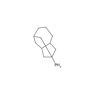 PC12CC3CCCC(C1)C(C3)C2